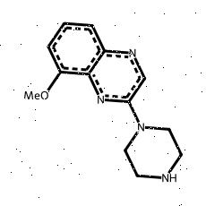 COc1cccc2ncc(N3CCNCC3)nc12